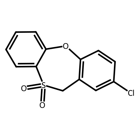 O=S1(=O)Cc2cc(Cl)ccc2Oc2ccccc21